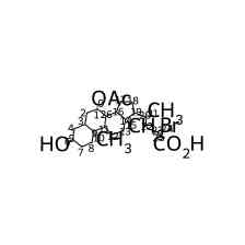 CC(=O)O[C@H]1CC2C[C@H](O)CC[C@]2(C)C2CC[C@@]3(C)C(CCC3[C@H](C)CC(Br)C(=O)O)C21